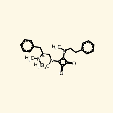 CN(CCc1ccccc1)c1c(N(C)C[C@H](Cc2ccccc2)N(C)C)c(=O)c1=O